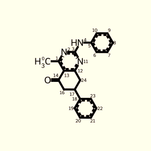 Cc1nc(Nc2ccccc2)nc2c1C(=O)CC(c1ccccc1)C2